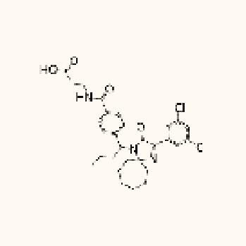 CCCC(c1ccc(C(=O)NCCC(=O)O)cc1)N1C(=O)C(c2cc(Cl)cc(Cl)c2)=NC12CCCCCC2